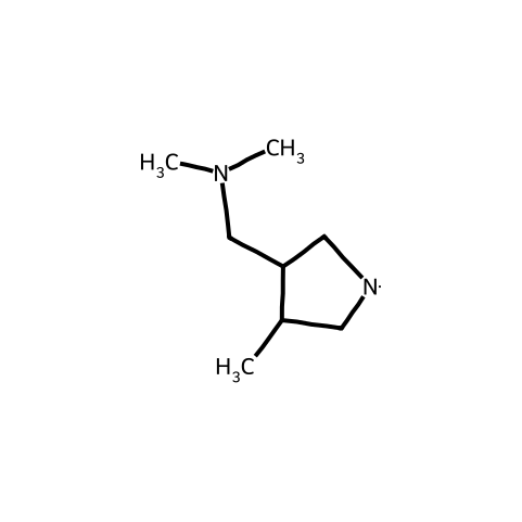 CC1C[N]CC1CN(C)C